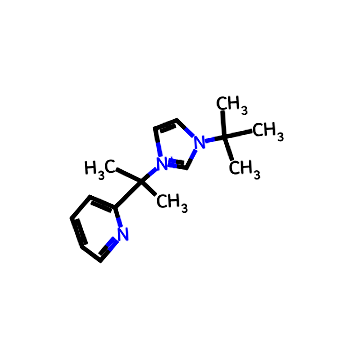 CC(C)(C)n1cc[n+](C(C)(C)c2ccccn2)c1